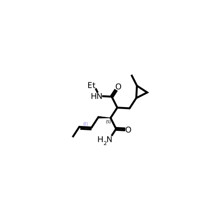 C/C=C/C[C@H](C(N)=O)C(CC1CC1C)C(=O)NCC